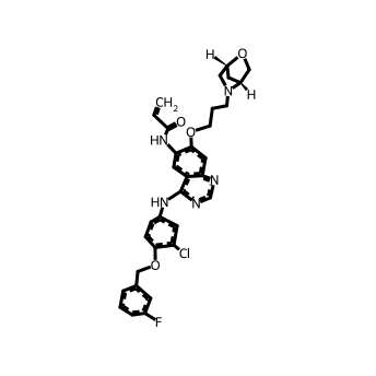 C=CC(=O)Nc1cc2c(Nc3ccc(OCc4cccc(F)c4)c(Cl)c3)ncnc2cc1OCCCN1C[C@H]2C[C@@H]1CO2